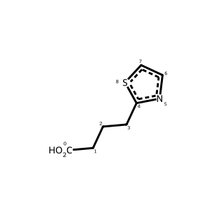 O=C(O)CCCc1nccs1